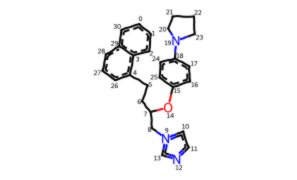 c1ccc2c(CCC(Cn3ccnc3)Oc3ccc(N4CCCC4)cc3)cccc2c1